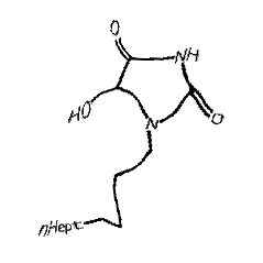 CCCCCCCCCCN1C(=O)NC(=O)C1O